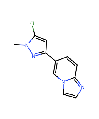 Cn1nc(-c2ccc3nccn3c2)cc1Cl